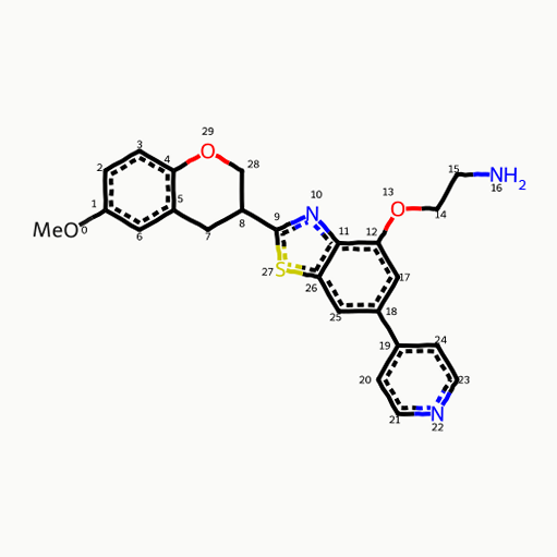 COc1ccc2c(c1)CC(c1nc3c(OCCN)cc(-c4ccncc4)cc3s1)CO2